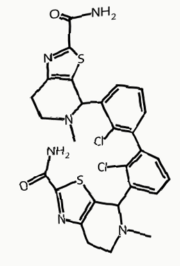 CN1CCc2nc(C(N)=O)sc2C1c1cccc(-c2cccc(C3c4sc(C(N)=O)nc4CCN3C)c2Cl)c1Cl